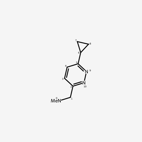 CNCc1ccc(C2CC2)nn1